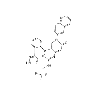 O=c1cc2nc(NCC(F)(F)F)nc(-c3ccccc3-c3cc[nH]n3)c2cn1-c1ccc2ncccc2c1